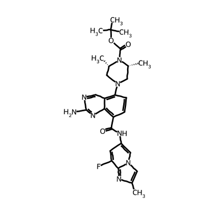 Cc1cn2cc(NC(=O)c3ccc(N4C[C@@H](C)N(C(=O)OC(C)(C)C)[C@@H](C)C4)c4cnc(N)nc34)cc(F)c2n1